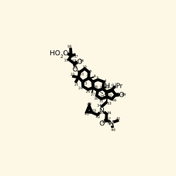 CC(C)C1=C2[C@H]3CCC4[C@@]5(C)CC[C@H](OC(=O)CC(C)(C)C(=O)O)C(C)(C)C5CC[C@@]4(C)[C@]3(C)CC[C@@]2(CCN(CC(=O)N(C)C)CC2CC2)CC1=O